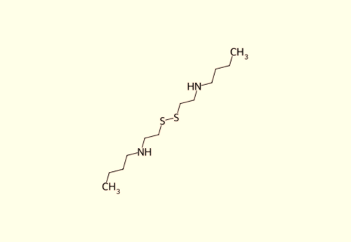 CCCCNCCSSCCNCCCC